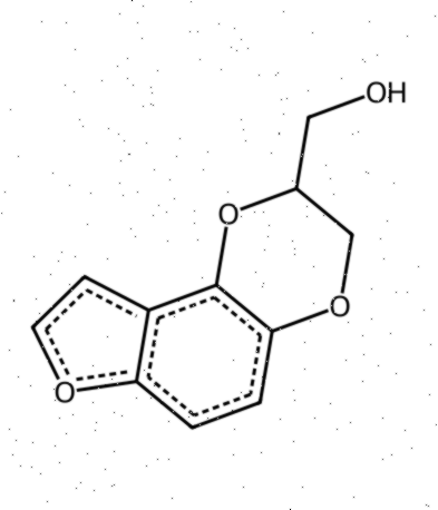 OCC1COc2ccc3occc3c2O1